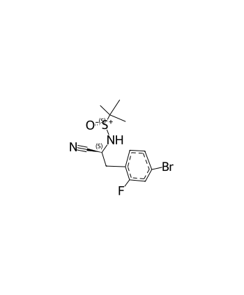 CC(C)(C)[S@@+]([O-])N[C@H](C#N)Cc1ccc(Br)cc1F